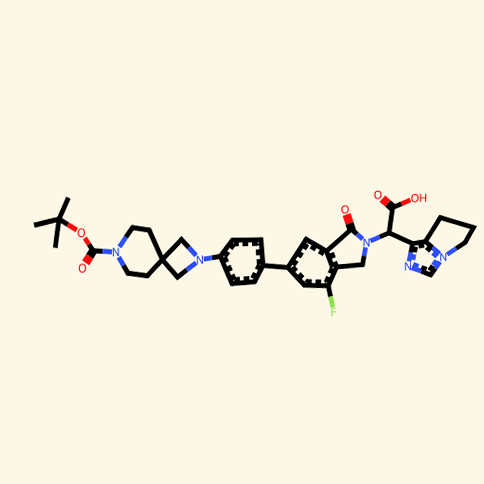 CC(C)(C)OC(=O)N1CCC2(CC1)CN(c1ccc(-c3cc(F)c4c(c3)C(=O)N(C(C(=O)O)c3ncn5c3CCC5)C4)cc1)C2